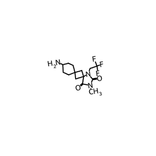 CN1C(=O)N(CC(F)(F)F)C2(CC3(CCC(N)CC3)C2)C1=O